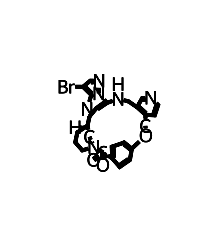 O=S1(=O)c2ccc(cc2)OCc2ccncc2CNc2cc(nc3c(Br)cnn23)[C@@H]2CCCN1C2